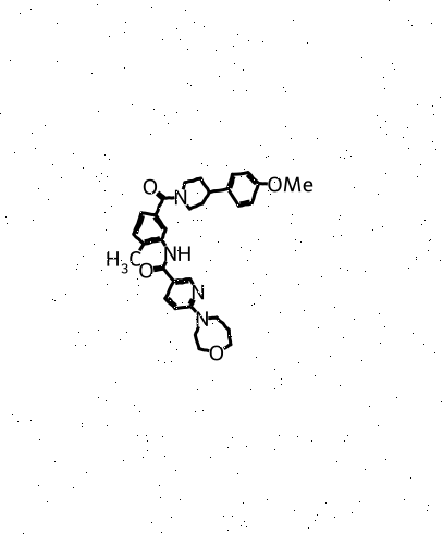 COc1ccc(C2CCN(C(=O)c3ccc(C)c(NC(=O)c4ccc(N5CCCOCC5)nc4)c3)CC2)cc1